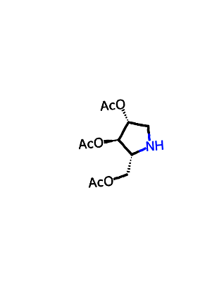 CC(=O)OC[C@H]1NC[C@@H](OC(C)=O)[C@@H]1OC(C)=O